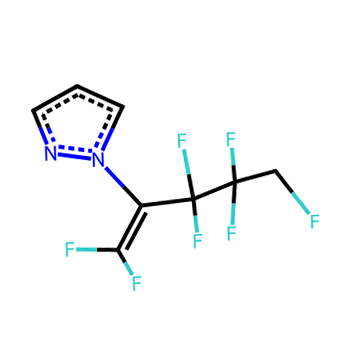 FCC(F)(F)C(F)(F)C(=C(F)F)n1cccn1